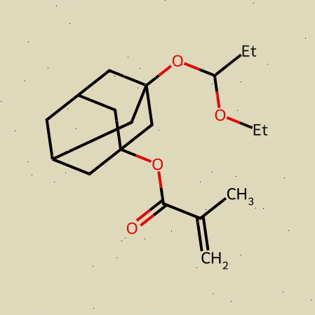 C=C(C)C(=O)OC12CC3CC(C1)CC(OC(CC)OCC)(C3)C2